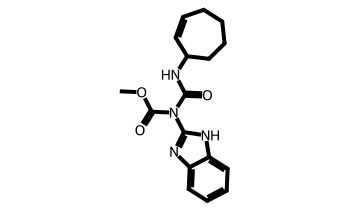 COC(=O)N(C(=O)NC1C=CCCCC1)c1nc2ccccc2[nH]1